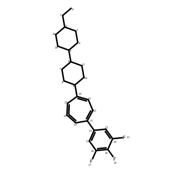 CCC1CCC(C2CCC(C3=CC=C(c4cc(F)c(F)c(F)c4)C=C=C3)CC2)CC1